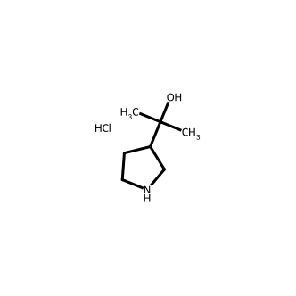 CC(C)(O)C1CCNC1.Cl